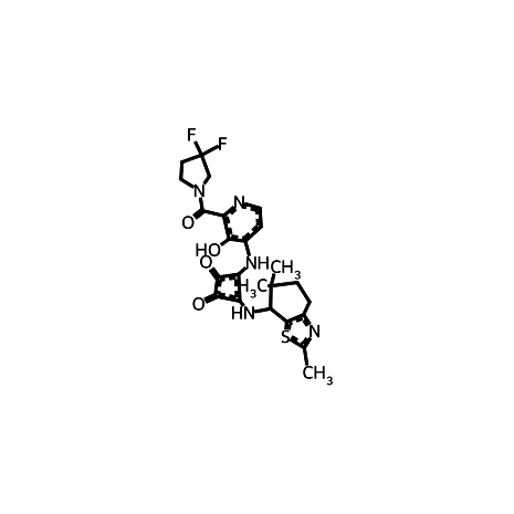 Cc1nc2c(s1)C(Nc1c(Nc3ccnc(C(=O)N4CCC(F)(F)C4)c3O)c(=O)c1=O)C(C)(C)CC2